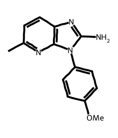 COc1ccc(-n2c(N)nc3ccc(C)nc32)cc1